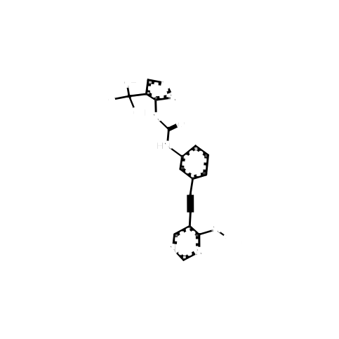 CNc1ncncc1C#Cc1cccc(NC(=O)Nc2nocc2C(C)(C)C)c1